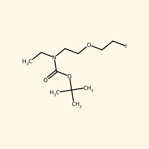 CCN(CCOCCI)C(=O)OC(C)(C)C